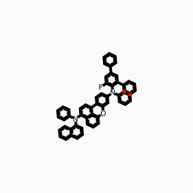 Fc1cc(-c2ccccc2)cc(-c2ccccc2)c1N(c1ccccc1)c1ccc2c(c1)Oc1cccc3c(N(c4ccccc4)c4cccc5ccccc45)ccc-2c13